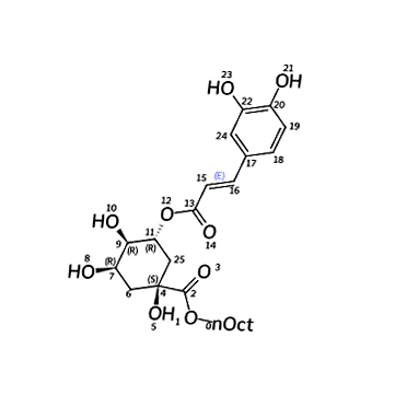 CCCCCCCCOC(=O)[C@]1(O)C[C@@H](O)[C@@H](O)[C@H](OC(=O)/C=C/c2ccc(O)c(O)c2)C1